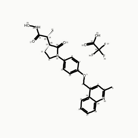 Cc1cc(COc2ccc(N3CC[C@H]([C@@H](C)C(=O)NO)C3=O)cc2)c2ccccc2n1.O=C(O)C(F)(F)F